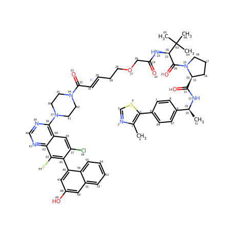 Cc1ncsc1-c1ccc([C@H](C)NC(=O)[C@@H]2CCCN2C(=O)[C@@H](NC(=O)COCC/C=C/C(=O)N2CCN(c3ncnc4c(F)c(-c5cc(O)cc6ccccc56)c(Cl)cc34)CC2)C(C)(C)C)cc1